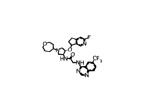 O=C(CNc1ncnc2ccc(C(F)(F)F)cc12)NC1CN(C2CCCOCC2)C[C@@H]1OC1CCc2cc(F)ncc21